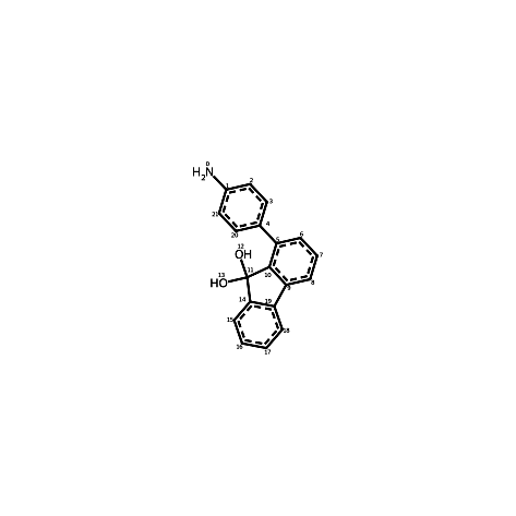 Nc1ccc(-c2cccc3c2C(O)(O)c2ccccc2-3)cc1